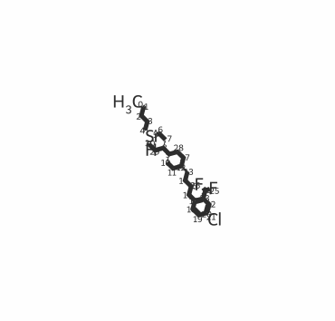 CCCCC[Si@H]1CC[C@H]([C@H]2CC[C@H](CCCCc3ccc(Cl)cc3C(F)F)CC2)CC1